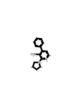 O=[N+]([O-])c1c(-c2ccccc2)ccnc1N1CCCC1